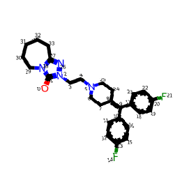 O=c1n(CCN2CCC(=C(c3ccc(F)cc3)c3ccc(F)cc3)CC2)nc2n1CCCCC2